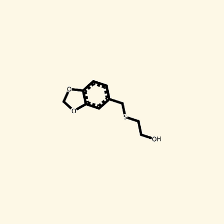 OCCSCc1ccc2c(c1)OCO2